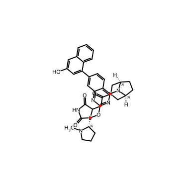 CN1CCC[C@H]1COc1nc(N2[C@@H]3CC[C@H]2CN(C(=O)CC2SC(=O)NC2=O)C3)c2ccc(-c3cc(O)cc4ccccc34)cc2n1